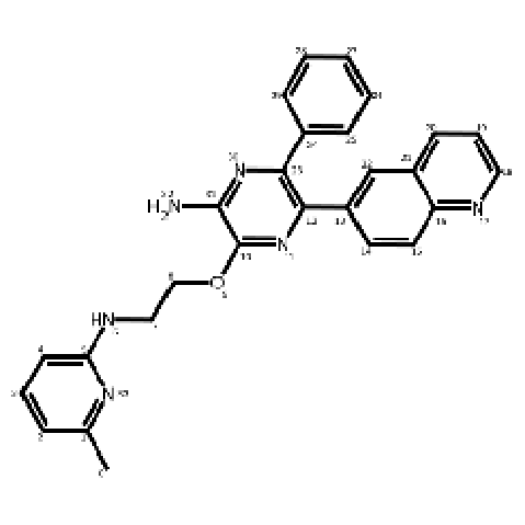 Cc1cccc(NCCOc2nc(-c3ccc4ncccc4c3)c(-c3ccccc3)nc2N)n1